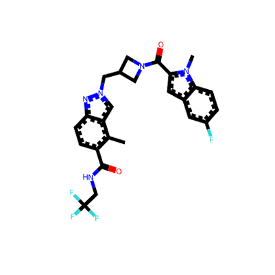 Cc1c(C(=O)NCC(F)(F)F)ccc2nn(CC3CN(C(=O)c4cc5cc(F)ccc5n4C)C3)cc12